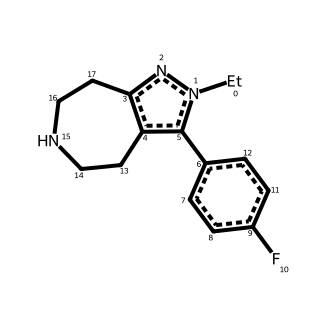 CCn1nc2c(c1-c1ccc(F)cc1)CCNCC2